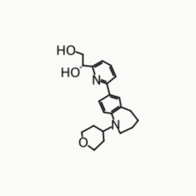 OC[C@@H](O)c1cccc(-c2ccc3c(c2)CCCCN3C2CCOCC2)n1